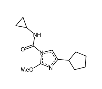 COc1nc(C2CCCC2)cn1C(=O)NC1CC1